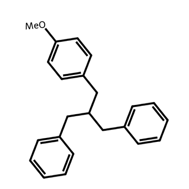 COc1ccc(CC(Cc2ccccc2)Cc2ccccc2)cc1